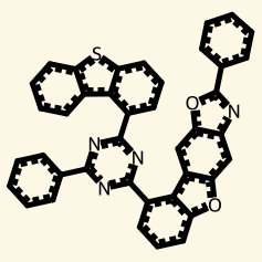 c1ccc(-c2nc(-c3cccc4oc5cc6nc(-c7ccccc7)oc6cc5c34)nc(-c3cccc4sc5ccccc5c34)n2)cc1